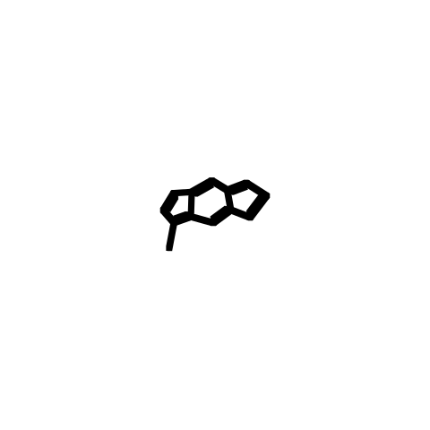 CC1=c2cc3c(cc2C=C1)=CC=C3